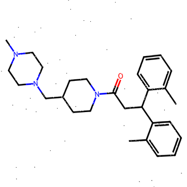 Cc1ccccc1C(CC(=O)N1CCC(CN2CCN(C)CC2)CC1)c1ccccc1C